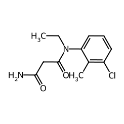 CCN(C(=O)CC(N)=O)c1cccc(Cl)c1C